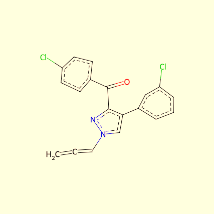 C=C=Cn1cc(-c2cccc(Cl)c2)c(C(=O)c2ccc(Cl)cc2)n1